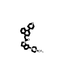 CN1CCN(c2ccc3c(c2)N(C(=O)Cc2ccc(-c4ccncc4)c4ccccc24)CC3)CC1